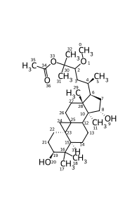 COC(C[C@@H](C)[C@H]1C[C@H](O)[C@@]2(C)C3CC[C@H]4C(C)(C)[C@@H](O)CC[C@@]45CC35CC[C@]12C)C(C)(C)OC(C)=O